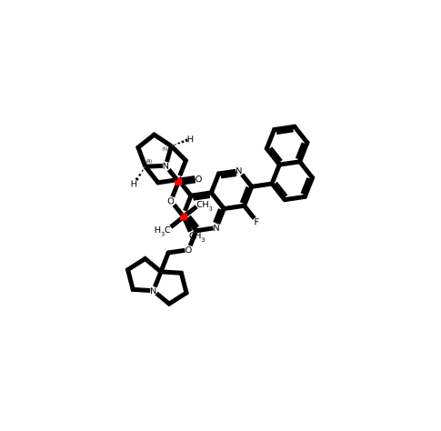 CC(C)(C)OC(=O)N1[C@@H]2CC[C@H]1CN(c1nc(OCC34CCCN3CCC4)nc3c(F)c(-c4cccc5ccccc45)ncc13)C2